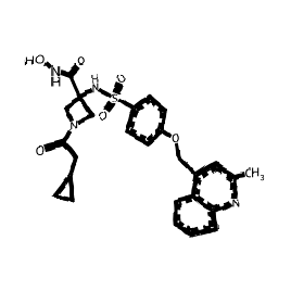 Cc1cc(COc2ccc(S(=O)(=O)NC3(C(=O)NO)CN(C(=O)CC4CC4)C3)cc2)c2ccccc2n1